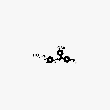 COc1ccc(/C(=C\CSc2ccc(OCC(=O)O)c(C)c2)c2ccc(C(F)(F)F)cc2)cc1